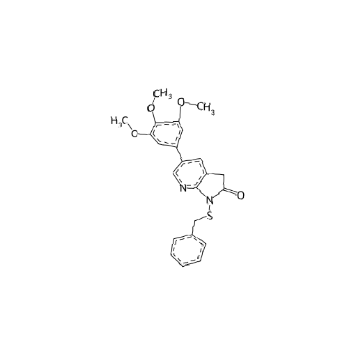 COc1cc(-c2cnc3c(c2)CC(=O)N3SCc2ccccc2)cc(OC)c1OC